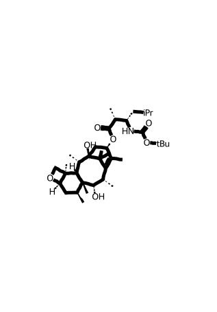 CC1=C2[C@H](C)[C@H](O)[C@@]3(C)[C@H]([C@H](C)[C@](O)(C[C@@H]1OC(=O)[C@H](C)[C@H](CC(C)C)NC(=O)OC(C)(C)C)C2(C)C)[C@]1(C)CO[C@@H]1C[C@@H]3C